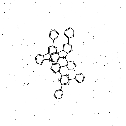 c1ccc(-c2ccc3c(c2)c2ccccc2n3-c2ccc(-c3nc(-c4ccccc4)nc(-c4ccccc4)n3)c(-c3cnccc3-n3c4ccccc4c4cc(-c5ccccc5)ccc43)c2)cc1